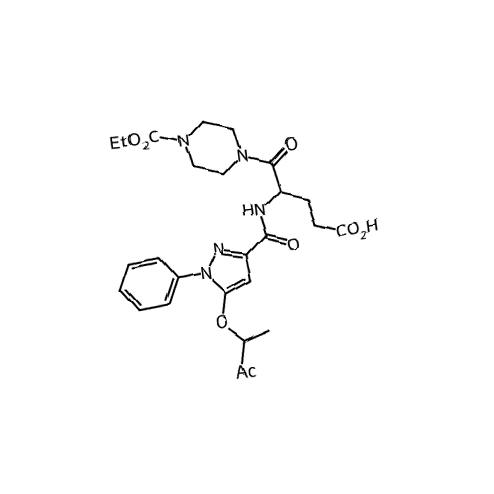 CCOC(=O)N1CCN(C(=O)C(CCC(=O)O)NC(=O)c2cc(OC(C)C(C)=O)n(-c3ccccc3)n2)CC1